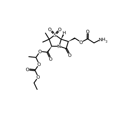 CCOC(=O)OC(C)OC(=O)[C@@H]1N2C(=O)[C@H](COC(=O)CN)[C@H]2S(=O)(=O)C1(C)C